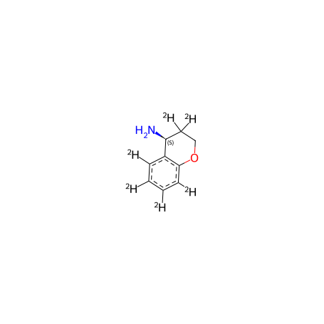 [2H]c1c([2H])c([2H])c2c(c1[2H])OCC([2H])([2H])[C@@H]2N